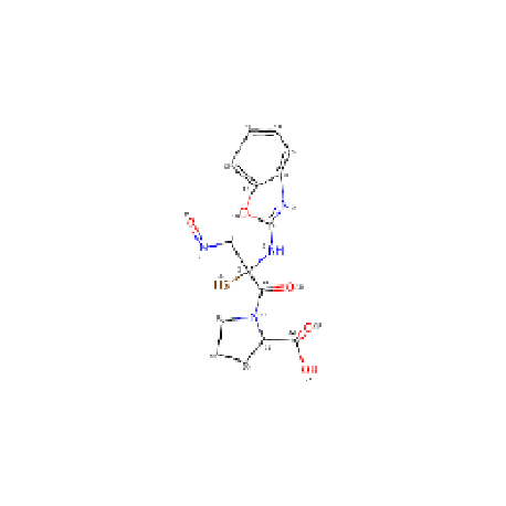 O=NCC(S)(Nc1nc2ccccc2o1)C(=O)N1CCCC1C(=O)O